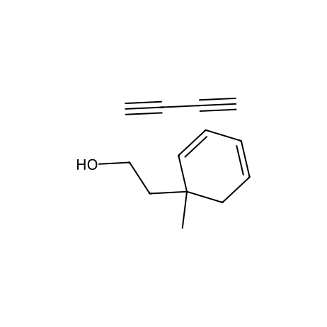 C#CC#C.CC1(CCO)C=CC=CC1